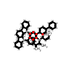 C=C(Nc1nc(-c2ccc(-c3ccccc3)cc2)nc(-n2c3ccccc3c3ccc4c5ccccc5n(-c5ccccc5)c4c32)n1)C(=C)N(C(=C)/C=C\C)c1ccccc1